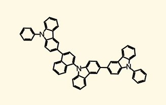 c1ccc(-n2c3ccccc3c3cc(-c4ccc5c(c4)c4ccccc4n5-c4ccc(-c5ccc6c(c5)c5ccccc5n6-c5ccccc5)c5ccccc45)ccc32)cc1